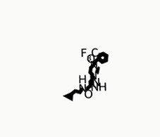 O=C(NCCC1CC1)c1cc(N2CCN(C(=O)c3ccccc3C(F)(F)F)CC2)n[nH]1